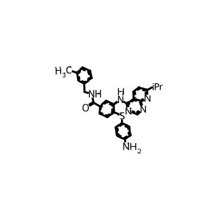 Cc1cccc(CNC(=O)c2ccc(Sc3ccc(N)cc3)c(Nc3ncnc4nc(C(C)C)ccc34)c2)c1